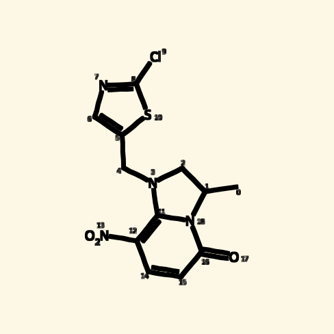 CC1CN(Cc2cnc(Cl)s2)c2c([N+](=O)[O-])ccc(=O)n21